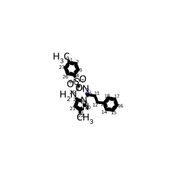 Cc1ccc(S(=O)(=O)O/N=C(/CCc2ccccc2)n2nc(C)cc2N)cc1